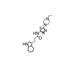 CCN1CCN(c2nnc(NC(=O)CCc3c[nH]c4ccccc34)s2)CC1